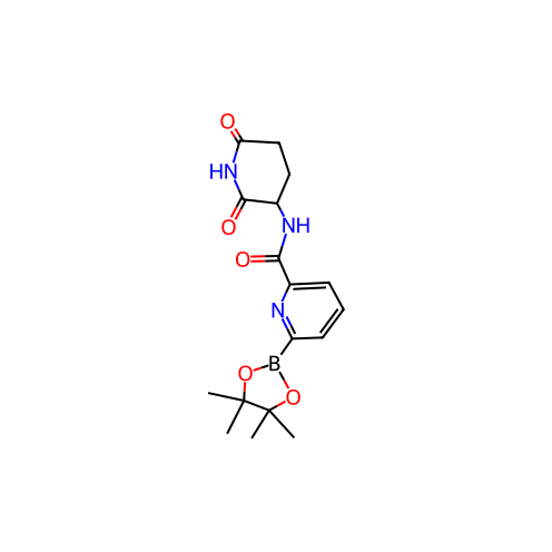 CC1(C)OB(c2cccc(C(=O)NC3CCC(=O)NC3=O)n2)OC1(C)C